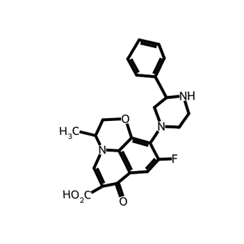 CC1COc2c(N3CCNC(c4ccccc4)C3)c(F)cc3c(=O)c(C(=O)O)cn1c23